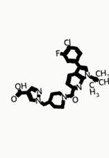 CC(C)(C)n1cc(-c2ccc(Cl)c(F)c2)c2ccc(C(=O)N3CCC(Cn4cc(C(=O)O)cn4)CC3)nc21